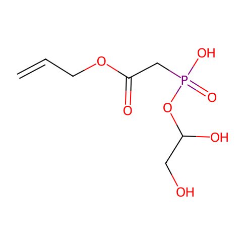 C=CCOC(=O)CP(=O)(O)OC(O)CO